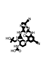 CC(C)(O)CN[C@H]1CN(c2cc(C#N)cc(Nc3nc(NC4CC4)c4ncc(C#N)n4n3)c2Cl)CC[C@@H]1NC(=O)O